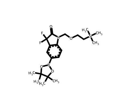 CC1(C)OB(c2ccc3c(c2)C(F)(F)C(=O)N3COCC[Si](C)(C)C)OC1(C)C